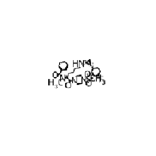 CN(C(=O)c1ccccc1)[C@@H](CCCCN[C@@H]1C[C@H]1c1ccc(F)cc1)C(=O)N1CCN(S(C)(=O)=O)CC1